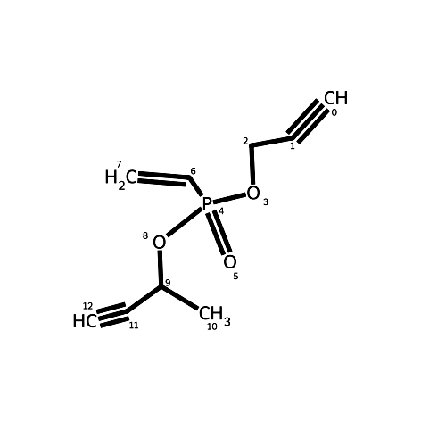 C#CCOP(=O)(C=C)OC(C)C#C